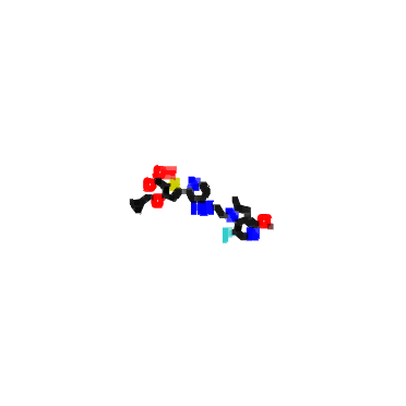 COc1ncc(F)c2c1cc(C)n2CCNc1ccnc(-c2cc(OCC3CC3)c(C(=O)O)s2)c1